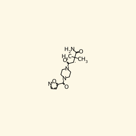 CC(C)([CH]C(=O)N1CCN(C(=O)c2ccno2)CC1)C(N)=O